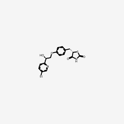 CCc1ccc([C@@H](O)COc2ccc(C[C@@H]3SC(=O)NC3=O)cc2)nc1